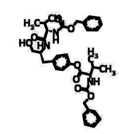 CC(C)C(NC(=O)OCc1ccccc1)C(=O)Oc1ccc(C[C@@H](CO)NC(=O)[C@@H](NC(=O)OCc2ccccc2)C(C)C)cc1